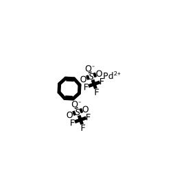 C1=CCCC=CCC1.O=S(=O)([O-])C(F)(F)F.O=S(=O)([O-])C(F)(F)F.[Pd+2]